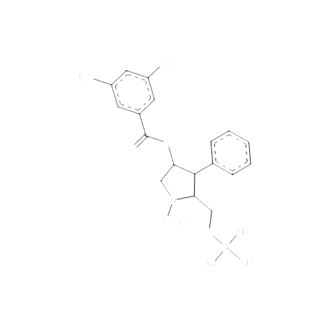 CC(C)(C)[Si](C)(C)OCC1C(c2ccccc2)C(OC(=O)c2cc(C(F)(F)F)cc(C(F)(F)F)c2)CN1C(=O)O